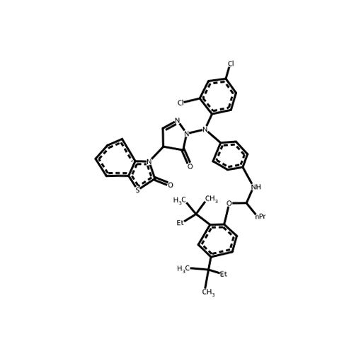 CCCC(Nc1ccc(N(c2ccc(Cl)cc2Cl)N2N=CC(n3c(=O)sc4ccccc43)C2=O)cc1)Oc1ccc(C(C)(C)CC)cc1C(C)(C)CC